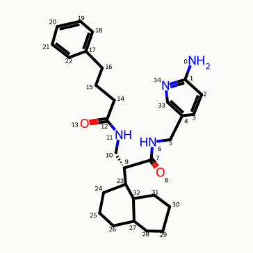 Nc1ccc(CNC(=O)[C@@H](CNC(=O)CCCc2ccccc2)C2CCCC3CCCCC32)cn1